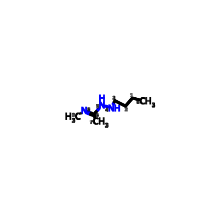 CCCCNN/C(C)=N/C